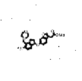 COC(=O)Cc1coc2cc(OC3CCc4c3ccc(C(F)(F)F)c4CN3CCOCC3)ccc12